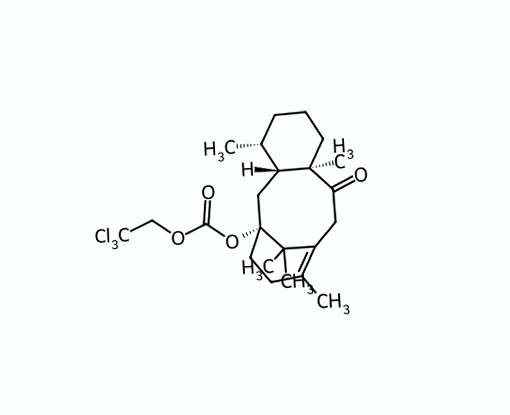 CC1=C2CC(=O)[C@]3(C)CCC[C@@H](C)[C@H]3C[C@](OC(=O)OCC(Cl)(Cl)Cl)(CC1)C2(C)C